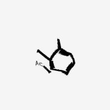 CC(C)=O.Cc1ccccc1C